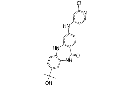 CC(C)(O)c1ccc2c(c1)NC(=O)c1ccc(Nc3ccnc(Cl)c3)cc1N2